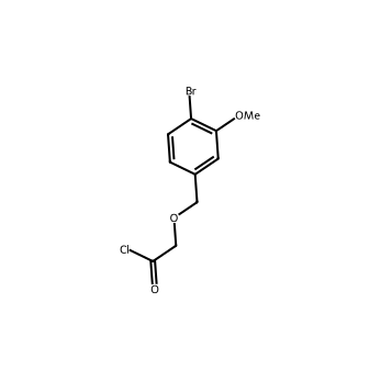 COc1cc(COCC(=O)Cl)ccc1Br